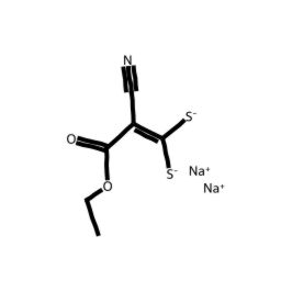 CCOC(=O)C(C#N)=C([S-])[S-].[Na+].[Na+]